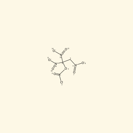 O=C(Cl)OC(C[N+](=O)[O-])([N+](=O)[O-])[N+](=O)[O-]